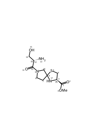 COC(=O)[C@@H]1CSC2(CCN(C(=O)[C@@H](N)CO)C2)N1